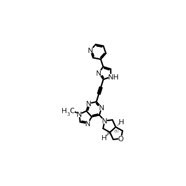 Cn1cnc2c(N3C[C@H]4COC[C@H]4C3)nc(C#Cc3nc(-c4cccnc4)c[nH]3)nc21